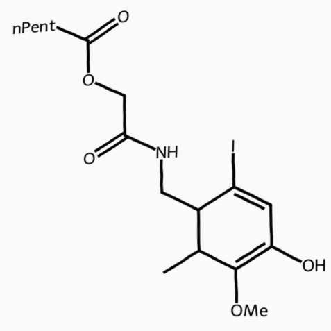 CCCCCC(=O)OCC(=O)NCC1C(I)=CC(O)=C(OC)C1C